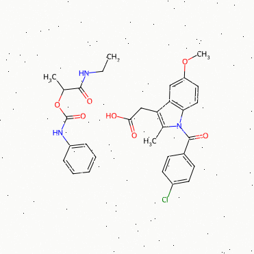 CCNC(=O)C(C)OC(=O)Nc1ccccc1.COc1ccc2c(c1)c(CC(=O)O)c(C)n2C(=O)c1ccc(Cl)cc1